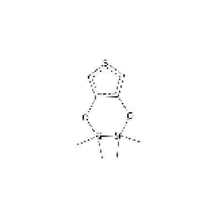 C[Si]1(C)Oc2cscc2O[Si]1(C)C